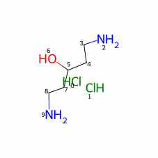 Cl.Cl.NCCC(O)CCN